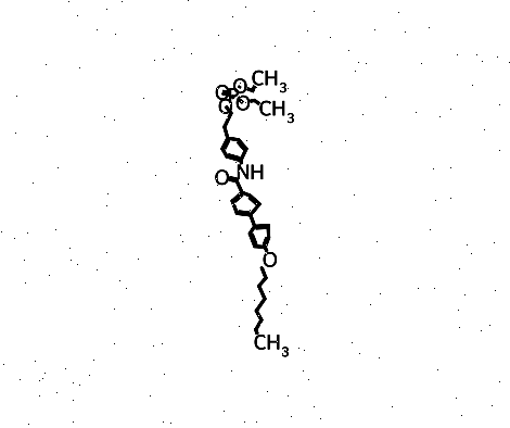 CCCCCCCCOc1ccc(-c2ccc(C(=O)Nc3ccc(CCOP(=O)(OCC)OCC)cc3)cc2)cc1